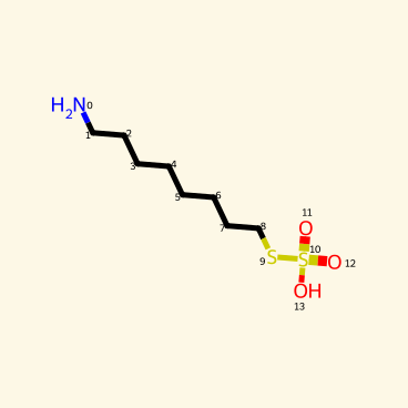 NCCCCCCCCSS(=O)(=O)O